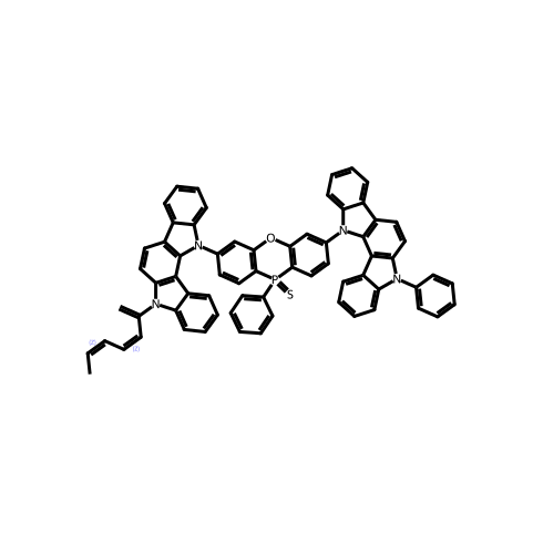 C=C(/C=C\C=C/C)n1c2ccccc2c2c1ccc1c3ccccc3n(-c3ccc4c(c3)Oc3cc(-n5c6ccccc6c6ccc7c(c8ccccc8n7-c7ccccc7)c65)ccc3P4(=S)c3ccccc3)c12